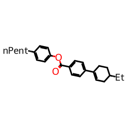 CCCCCc1ccc(OC(=O)c2ccc(C3=CCC(CC)CC3)cc2)cc1